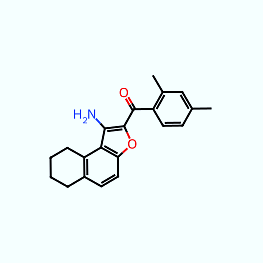 Cc1ccc(C(=O)c2oc3ccc4c(c3c2N)CCCC4)c(C)c1